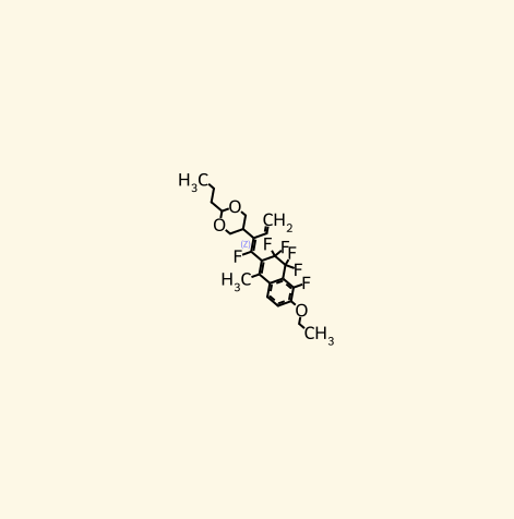 C=C/C(=C(/F)C1=C(C)c2ccc(OCC)c(F)c2C(F)(F)C1(F)F)C1COC(CCC)OC1